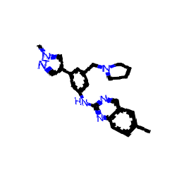 Cc1ccc2nc(Nc3cc(CN4CCCC4)cc(-c4cnn(C)c4)c3)ncc2c1